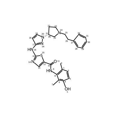 Cc1ccc(O)c(C)c1NC(=O)c1cnc(Nc2ccn([C@@H]3CCN(CCc4ccccc4)C3)n2)s1